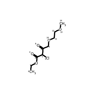 CCOC(=O)C(Cl)C(=O)COCCOC